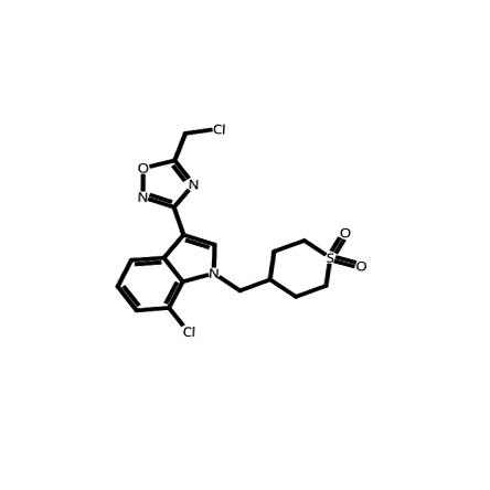 O=S1(=O)CCC(Cn2cc(-c3noc(CCl)n3)c3cccc(Cl)c32)CC1